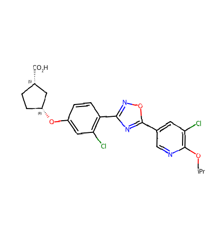 CC(C)Oc1ncc(-c2nc(-c3ccc(O[C@@H]4CC[C@H](C(=O)O)C4)cc3Cl)no2)cc1Cl